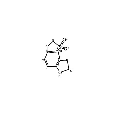 O=S1(=O)CCc2ccc3c(c21)CCO3